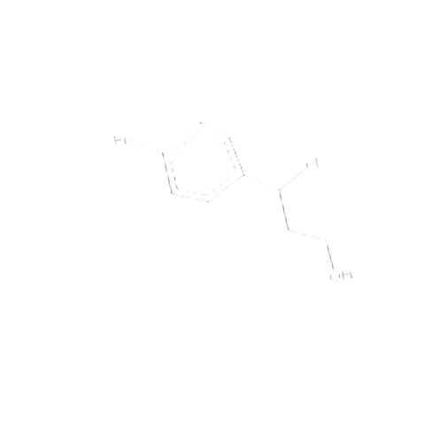 OCCC(Cl)c1ccc(Br)cc1